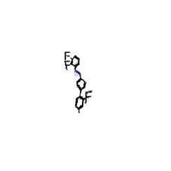 Cc1ccc(-c2ccc(/C=C/c3cccc(F)c3F)cc2)c(F)c1